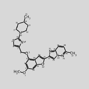 COc1cc(OCc2csc(N3CCC(C)CC3)n2)c2cc(-c3cn4nc(C)ccc4n3)oc2c1